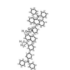 CC1(C)c2cc(-c3ccc(N(c4ccccc4)c4ccccc4)cc3)ccc2-c2ccc3c4c(ccc1c24)C(C)(C)c1cc(-c2c4ccccc4c(N(c4ccccc4)c4ccccc4)c4ccccc24)ccc1-3